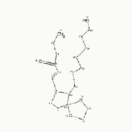 CCCC(=O)C=CC1CCC2(OCCO2)C1CCCCCCCO